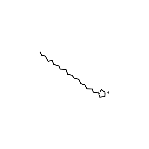 CCCCCCCCCCCCCCCCCCN1CCNC1